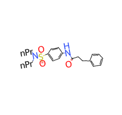 CCCN(CCC)S(=O)(=O)c1ccc(NC(=O)CCc2ccccc2)cc1